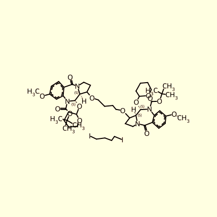 COc1ccc2c(c1)N(C(=O)OC(C)(C)C)[C@@H](OC1CCCCO1)[C@@H]1C(OCCCCOC3CCN4C(=O)c5ccc(OC)cc5N(C(=O)OC(C)(C)C)[C@@H](OC5CCCCO5)[C@H]34)CCN1C2=O.ICCCCI